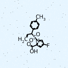 C=CC(c1ccc(C)cc1)S(=O)(=O)n1cc(F)cc1C(=O)O